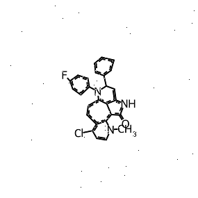 CN1C=CC(Cl)=c2ccc3c4c([nH]c(=O)c-4c21)=CC(c1ccccc1)N3c1ccc(F)cc1